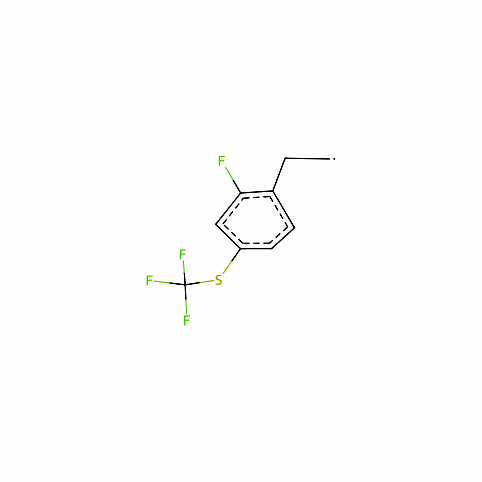 [CH2]Cc1ccc(SC(F)(F)F)cc1F